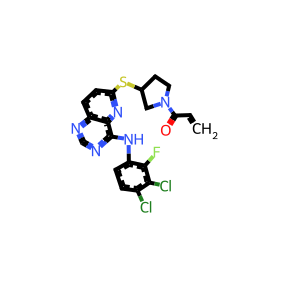 C=CC(=O)N1CCC(Sc2ccc3ncnc(Nc4ccc(Cl)c(Cl)c4F)c3n2)C1